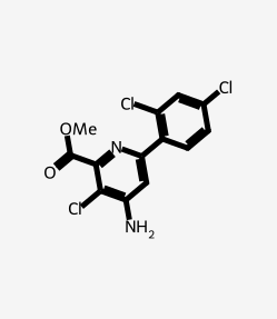 COC(=O)c1nc(-c2ccc(Cl)cc2Cl)cc(N)c1Cl